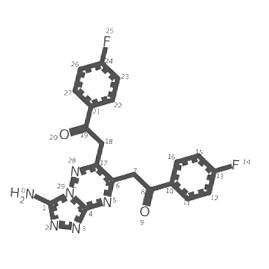 Nc1nnc2nc(CC(=O)c3ccc(F)cc3)c(CC(=O)c3ccc(F)cc3)nn12